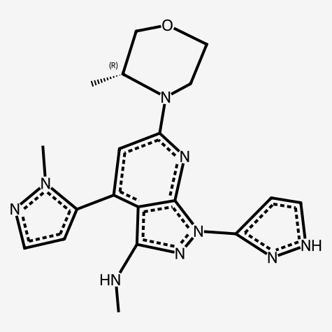 CNc1nn(-c2cc[nH]n2)c2nc(N3CCOC[C@H]3C)cc(-c3ccnn3C)c12